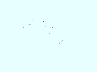 Cc1cccc(NC(=O)NCC(=O)N(CC(=O)N2CC(C)CC(C)C2)c2ccccc2)c1